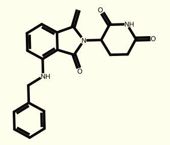 C=C1c2cccc(NCc3ccccc3)c2C(=O)N1C1CCC(=O)NC1=O